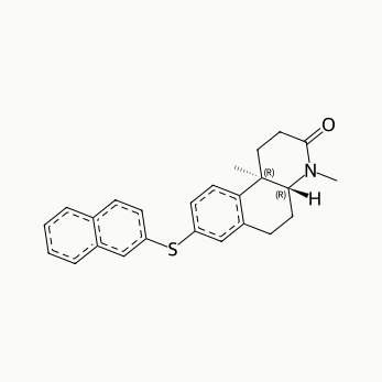 CN1C(=O)CC[C@]2(C)c3ccc(Sc4ccc5ccccc5c4)cc3CC[C@@H]12